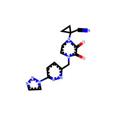 N#CC1(n2ccn(Cc3ccc(-n4ccnn4)nn3)c(=O)c2=O)CC1